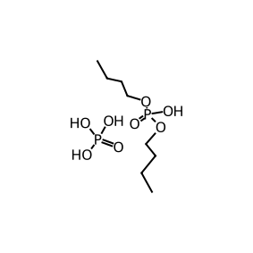 CCCCOP(=O)(O)OCCCC.O=P(O)(O)O